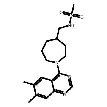 Cc1cc2ncnc(N3CCCC(CNS(C)(=O)=O)CC3)c2cc1C